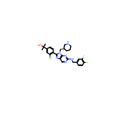 CC(C)(O)c1ccc(-c2nc3cnc(NCc4ccc(F)c(F)c4)nc3n2C[C@@H]2CCCNC2)c(Cl)c1